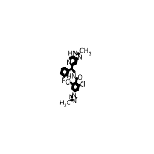 Cc1ncn(-c2cc(Cl)c(C(=O)NCC(c3cccc(F)c3)c3cc4nc(C)[nH]c4cn3)c(Cl)c2)n1